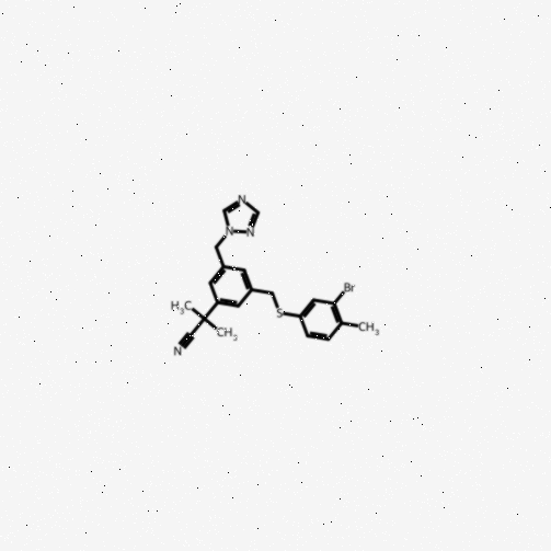 Cc1ccc(SCc2cc(Cn3cncn3)cc(C(C)(C)C#N)c2)cc1Br